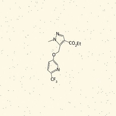 CCOC(=O)c1cnn(C)c1COc1ccc(C(F)(F)F)nc1